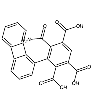 NC(=O)c1c(C(=O)O)cc(C(=O)O)c(C(=O)O)c1-c1cccc2c1-c1ccccc1-2